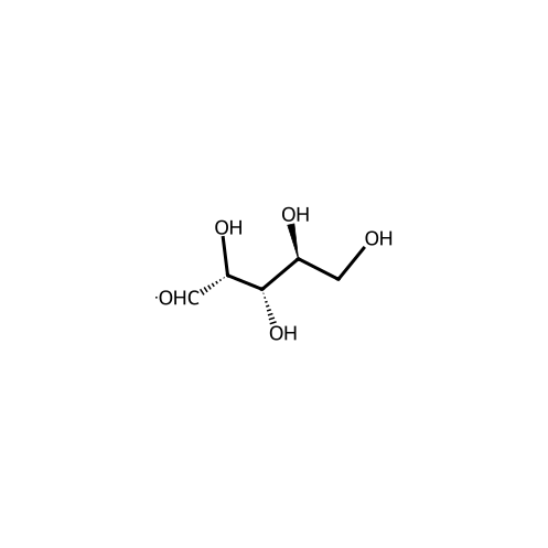 O=[C][C@H](O)[C@@H](O)[C@@H](O)CO